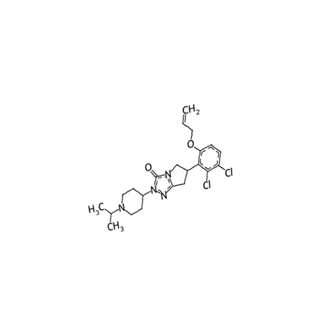 C=CCOc1ccc(Cl)c(Cl)c1C1Cc2nn(C3CCN(C(C)C)CC3)c(=O)n2C1